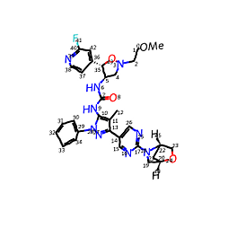 COCCN1C[C@@H](NC(=O)Nc2c(C)c(-c3cnc(N4C[C@@H]5C[C@H]4CO5)nc3)nn2-c2ccccc2)[C@H](c2ccnc(F)c2)O1